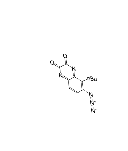 CCCCc1c(N=[N+]=[N-])ccc2c1=NC(=O)C(=O)N=2